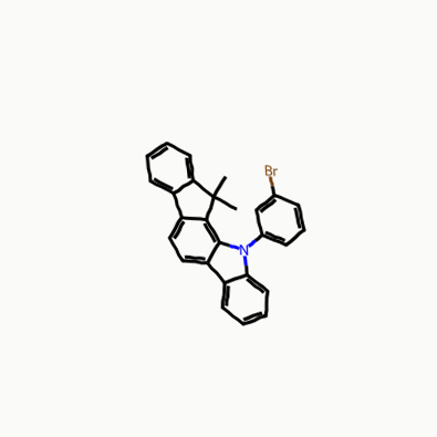 CC1(C)c2ccccc2-c2ccc3c4ccccc4n(-c4cccc(Br)c4)c3c21